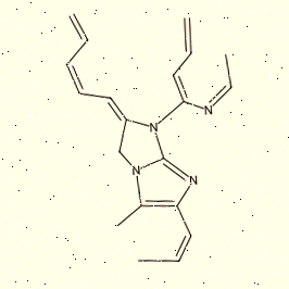 C=C/C=C\C=C1/Cn2c(nc(/C=C\C)c2C)N1C(=C/C=C)/N=C\C